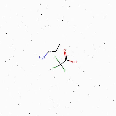 CCCN.O=C(O)C(F)(F)F